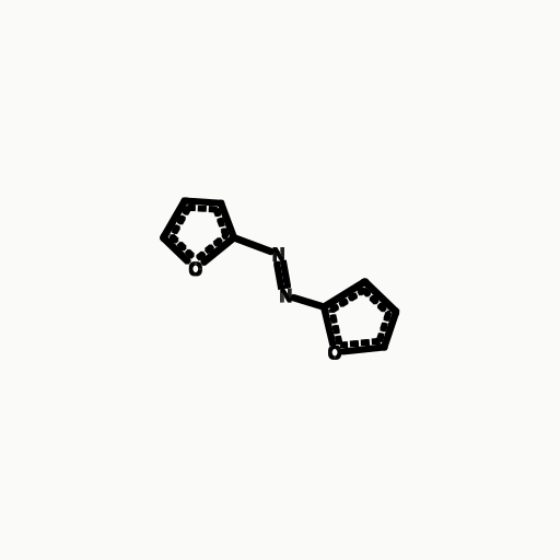 c1coc(N=Nc2ccco2)c1